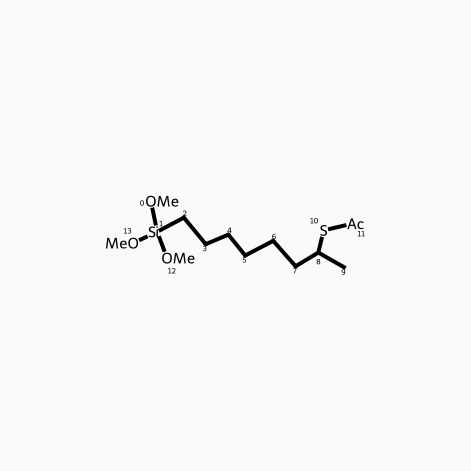 CO[Si](CCCCCCC(C)SC(C)=O)(OC)OC